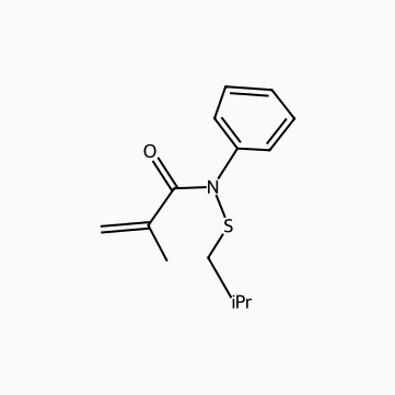 C=C(C)C(=O)N(SCC(C)C)c1ccccc1